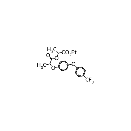 CCOC(=O)C(C)OC(=O)C(C)Oc1ccc(Oc2ccc(C(F)(F)F)cc2)cc1